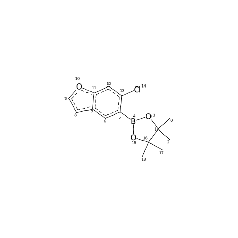 CC1(C)OB(c2cc3ccoc3cc2Cl)OC1(C)C